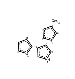 [GeH4].c1cc[nH]c1.c1ccsc1.c1ccsc1